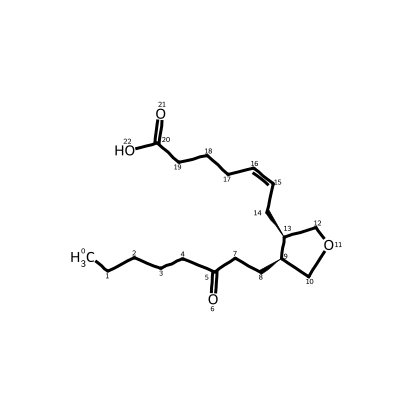 CCCCCC(=O)CC[C@@H]1COC[C@@H]1C/C=C\CCCC(=O)O